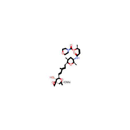 CO[C@]1(C)C[C@@]2(CO2)[C@H](O)[C@@H](/C=C/C(C)=C/C[C@@H]2O[C@H](C)[C@H](NC(=O)/C=C\[C@H](C)OC(=O)N3CCOCC3)C[C@@H]2C)O1